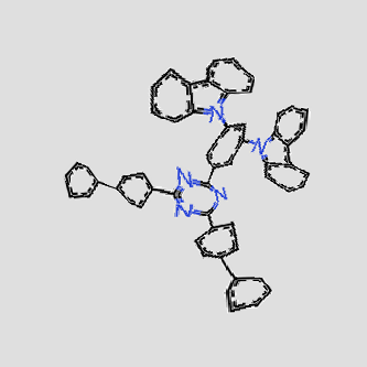 c1ccc(-c2ccc(-c3nc(-c4ccc(-c5ccccc5)cc4)nc(-c4cc(-n5c6ccccc6c6ccccc65)cc(-n5c6ccccc6c6ccccc65)c4)n3)cc2)cc1